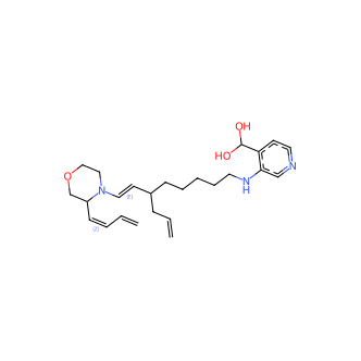 C=C/C=C\C1COCCN1/C=C/C(CC=C)CCCCCNc1cnccc1C(O)O